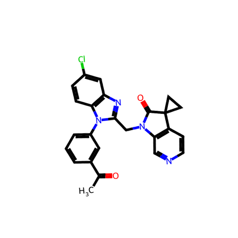 CC(=O)c1cccc(-n2c(CN3C(=O)C4(CC4)c4ccncc43)nc3cc(Cl)ccc32)c1